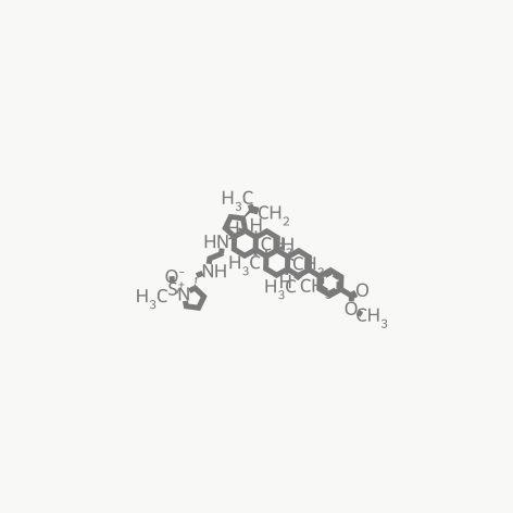 C=C(C)[C@@H]1CC[C@]2(NCCNC[C@@H]3CCCN3[S+](C)[O-])CC[C@]3(C)[C@H](CC[C@@H]4[C@@]5(C)CC=C(c6ccc(C(=O)OC)cc6)C(C)(C)[C@@H]5CC[C@]43C)[C@@H]12